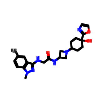 Cn1nc(NCC(=O)NC2CN(C3CCC(O)(c4ncco4)CC3)C2)c2cc(C(F)(F)F)ccc21